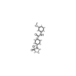 COc1cccc(NC(=O)c2ccc(N3CCCS3(=O)=O)cc2)c1